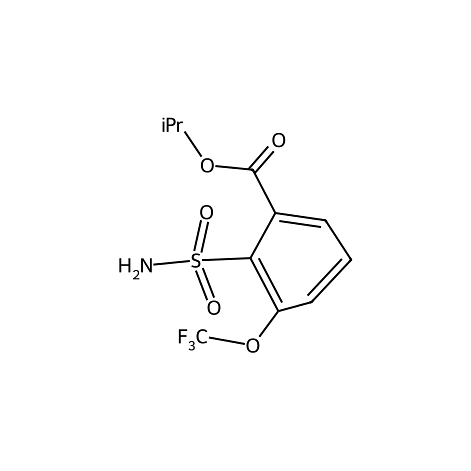 CC(C)OC(=O)c1cccc(OC(F)(F)F)c1S(N)(=O)=O